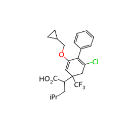 CC(C)CC(C(=O)O)C1(C(F)(F)F)C=C(OCC2CC2)C(c2ccccc2)=C(Cl)C1